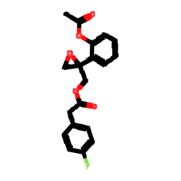 CC(=O)Oc1ccccc1C1(COC(=O)Cc2ccc(F)cc2)CO1